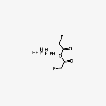 F.F.F.F.O=C(CF)OC(=O)CF